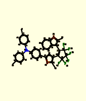 Cc1ccc(N(c2ccc(C)cc2)c2ccc(-c3cc(C4=C(c5c(C)sc6ccccc56)C(F)(F)C(F)(F)C4(F)F)c(C)s3)cc2)cc1